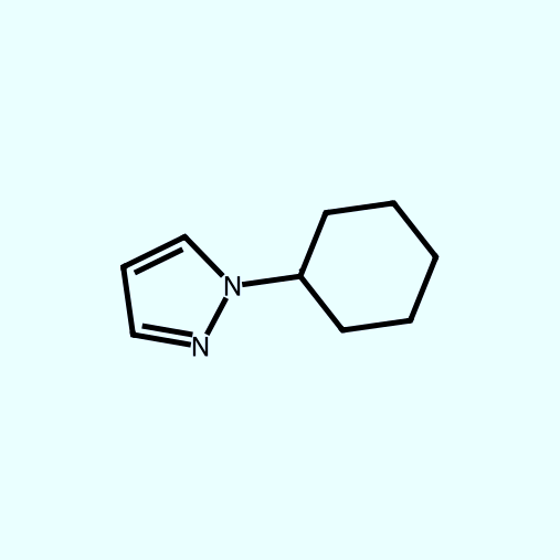 c1cnn([C]2CCCCC2)c1